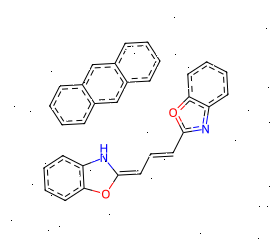 C(=Cc1nc2ccccc2o1)C=C1Nc2ccccc2O1.c1ccc2cc3ccccc3cc2c1